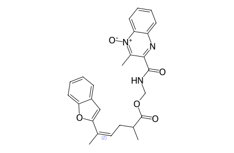 C/C(=C/CC(C)C(=O)OCNC(=O)c1nc2ccccc2[n+]([O-])c1C)c1cc2ccccc2o1